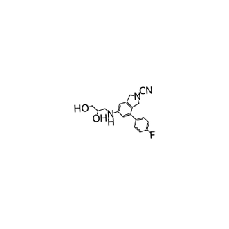 N#CN1Cc2cc(NCC(O)CO)cc(-c3ccc(F)cc3)c2C1